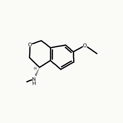 CN[C@@H]1COCc2cc(OC)ccc21